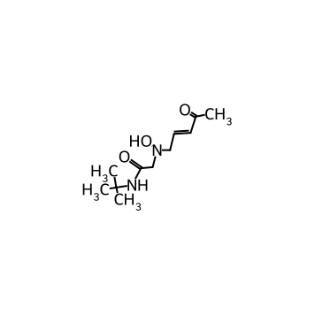 CC(=O)/C=C/CN(O)CC(=O)NC(C)(C)C